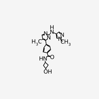 Cc1cnc(Nc2cnn(C)c2)nc1-c1ccc(C(=O)NC2CC(O)C2)cc1